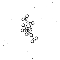 c1ccc(-c2nc3c(-n4c5ccccc5c5cc(-n6c7ccccc7c7ccccc76)ccc54)nnc(-n4c5ccccc5c5cc(-n6c7ccccc7c7ccccc76)ccc54)c3nc2-c2ccccc2)cc1